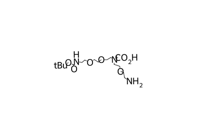 CC(C)(C)OC(=O)NCCOCCOCCN(CCOCCN)C(=O)O